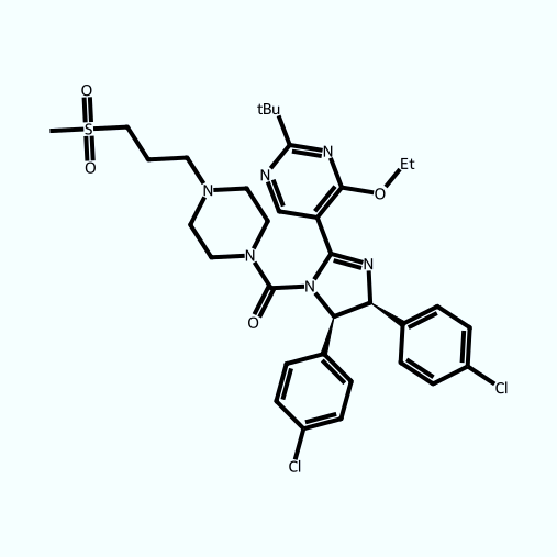 CCOc1nc(C(C)(C)C)ncc1C1=N[C@@H](c2ccc(Cl)cc2)[C@@H](c2ccc(Cl)cc2)N1C(=O)N1CCN(CCCS(C)(=O)=O)CC1